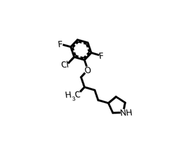 CC(CCC1CCNC1)COc1c(F)ccc(F)c1Cl